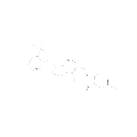 O=C(O)CN1C(=O)SC(=Cc2ccc3c(cnn3Cc3ccc(Cl)cc3C(F)(F)F)c2F)C1=O